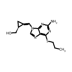 CCCSc1nc(N)nc2c1ncn2/C=C1/C[C@@H]1CO